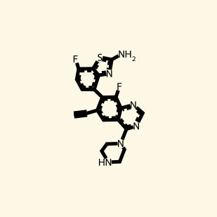 C#Cc1cc2c(N3CCNCC3)ncnc2c(F)c1-c1ccc(F)c2sc(N)nc12